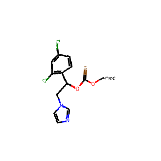 CCCCCOC(=S)OC(Cn1ccnc1)c1ccc(Cl)cc1Cl